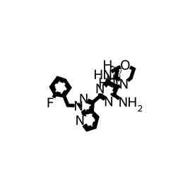 Nc1nc(-c2nn(Cc3ccccc3F)c3ncccc23)nc2c1N1CCO[C@H](N2)[C@@H]1O